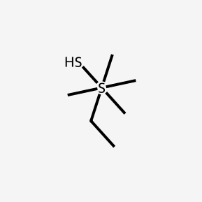 CCS(C)(C)(C)(C)S